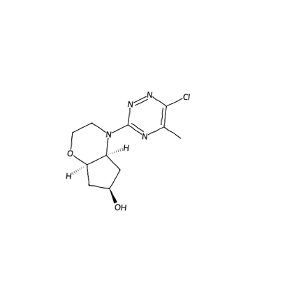 Cc1nc(N2CCO[C@@H]3C[C@H](O)C[C@@H]32)nnc1Cl